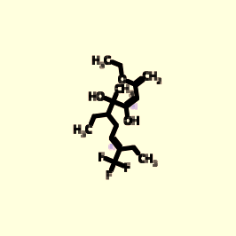 C=C(/C=C(/O)C(C)(O)C(CC)C/C=C(\CC)C(F)(F)F)OCC